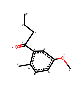 CCCC(=O)c1cc(OC)ccc1C